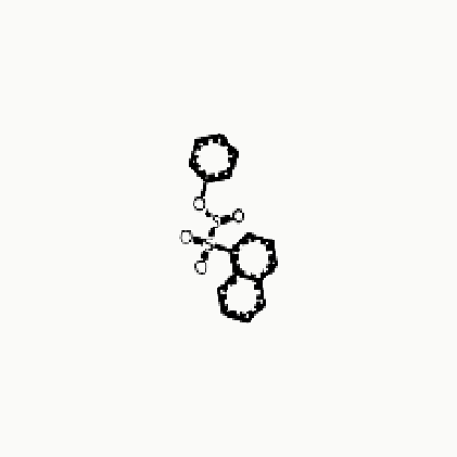 O=S(Oc1ccccc1)S(=O)(=O)c1cccc2ccccc12